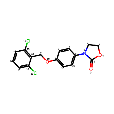 O=C1OCCN1c1ccc(OCc2c(Cl)cccc2Cl)cc1